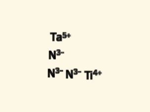 [N-3].[N-3].[N-3].[Ta+5].[Ti+4]